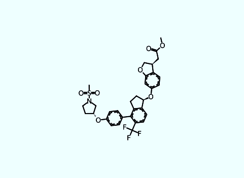 COC(=O)C[C@@H]1COc2cc(O[C@@H]3CCc4c3ccc(C(F)(F)F)c4-c3ccc(O[C@@H]4CCN(S(C)(=O)=O)C4)cc3)ccc21